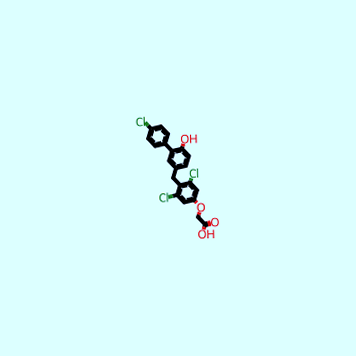 O=C(O)COc1cc(Cl)c(Cc2ccc(O)c(-c3ccc(Cl)cc3)c2)c(Cl)c1